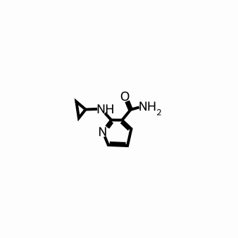 NC(=O)c1cccnc1NC1CC1